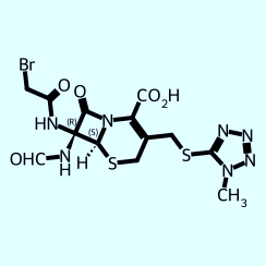 Cn1nnnc1SCC1=C(C(=O)O)N2C(=O)[C@@](NC=O)(NC(=O)CBr)[C@@H]2SC1